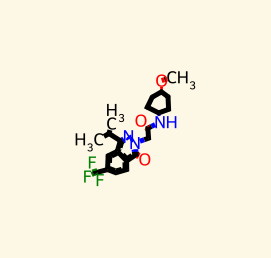 CO[C@H]1CC[C@@H](NC(=O)Cn2nc(C(C)C)c3cc(C(F)(F)F)ccc3c2=O)CC1